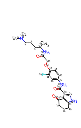 CCN(CC)CCCC(C)NC(=O)COc1ccc(NC(=O)c2c[nH]c3c2C(=O)CCC3)cc1F